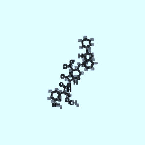 CON=C(C(=O)NC1C(=O)N2C(C(=O)[O-])=C(C[n+]3cccc4nc(-c5ccccc5)[nH]c43)CS[C@@H]12)c1cccc(N)n1